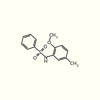 COc1ccc(C)cc1NS(=O)(=O)c1ccccc1